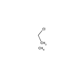 C.CCCl